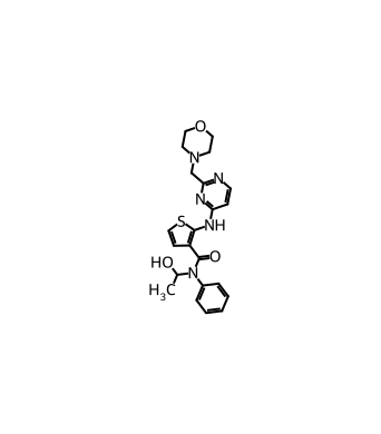 CC(O)N(C(=O)c1ccsc1Nc1ccnc(CN2CCOCC2)n1)c1ccccc1